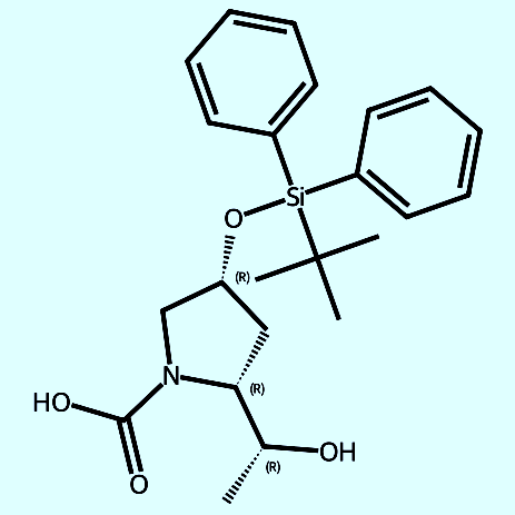 C[C@@H](O)[C@H]1C[C@@H](O[Si](c2ccccc2)(c2ccccc2)C(C)(C)C)CN1C(=O)O